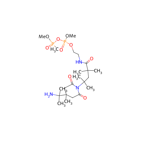 COP(C)(=O)OP(=O)(OC)OCCNC(=O)C(C)(C)CC(C)(C)N1C(=O)CC(C)(C(C)(C)N)CC1=O